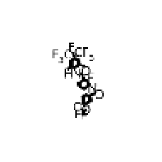 Cc1cc(C(F)(C(F)(F)F)C(F)(F)F)cc(C)c1NC(=O)c1cccc(N(C)C(=O)c2ccc3c(c2)OC(F)(F)O3)c1F